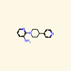 Nc1cccnc1N1CCC(c2ccncc2)CC1